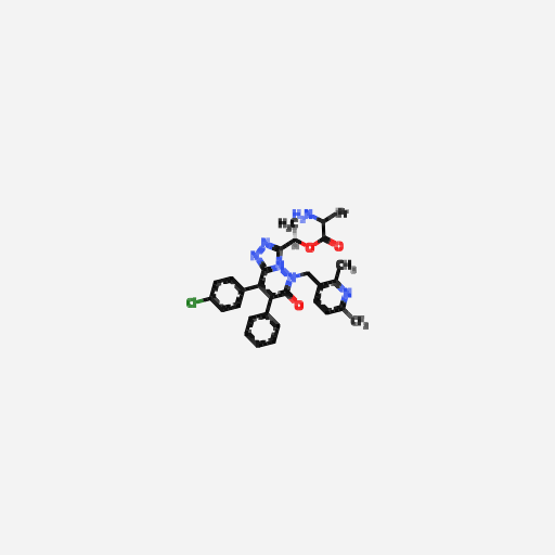 Cc1nc(C(F)(F)F)ccc1Cn1c(=O)c(-c2ccccc2)c(-c2ccc(Cl)cc2)c2nnc([C@H](C)OC(=O)C(N)C(C)C)n21